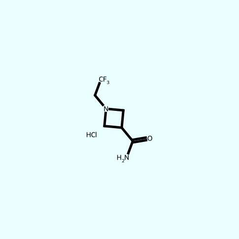 Cl.NC(=O)C1CN(CC(F)(F)F)C1